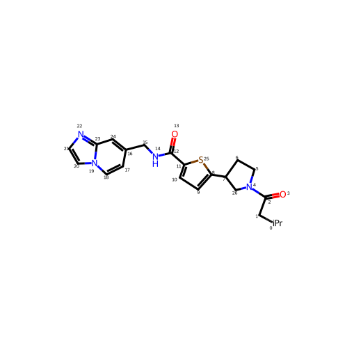 CC(C)CC(=O)N1CCC(c2ccc(C(=O)NCc3ccn4ccnc4c3)s2)C1